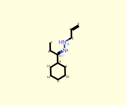 C=CCN/N=C(\CC)C1CCCCC1